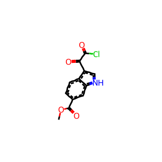 COC(=O)c1ccc2c(C(=O)C(=O)Cl)c[nH]c2c1